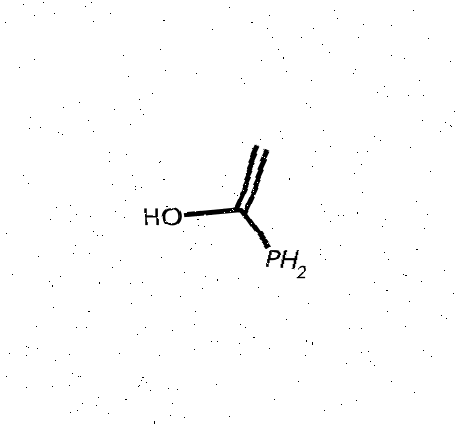 C=C(O)P